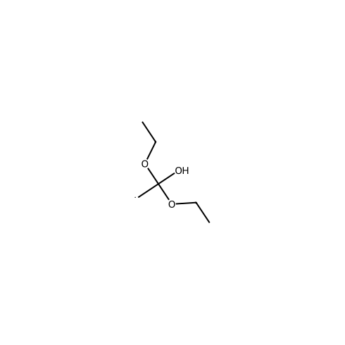 [CH2]C(O)(OCC)OCC